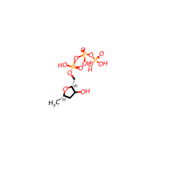 C[C@H]1CC(O)[C@@H](COP(=O)(O)OP(=O)(O)OP(=O)(O)O)O1